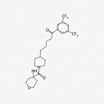 NC1(C(=O)N2CCC(CCCCC(=O)c3cc(C(F)(F)F)cc(C(F)(F)F)c3)CC2)CCOCC1